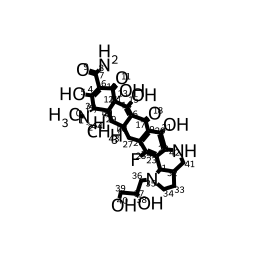 CN(C)[C@@H]1C(O)=C(C(N)=O)C(=O)[C@@]2(O)C(O)=C3C(=O)c4c(O)c5c(c(F)c4C[C@H]3C[C@@H]12)C1C(CCN1CC(O)CO)CN5